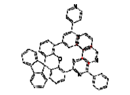 c1ccc(-c2cc(-c3ccccc3)nc(-c3cccc4c3Oc3c(-c5cc(-c6ccncc6)nc(-c6ccncc6)c5)cccc3C43c4ccccc4-c4ccccc43)n2)cc1